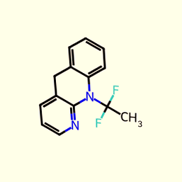 CC(F)(F)N1c2ccccc2Cc2cccnc21